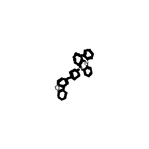 C1=Cc2c(oc3ccc(-c4ccc(N5c6ccccc6-n6c7ccccc7c7cccc5c76)cc4)cc23)CC1